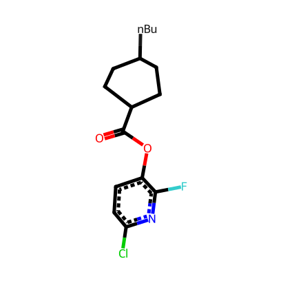 CCCCC1CCC(C(=O)Oc2ccc(Cl)nc2F)CC1